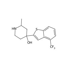 CC1CC(O)(c2cc3c(C(F)(F)F)cccc3s2)CCN1